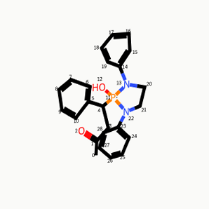 CC(=O)CC(c1ccccc1)[P]1(O)N(c2ccccc2)CCN1c1ccccc1